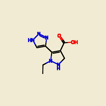 CCN1NCC(C(=O)O)=C1c1c[nH]nn1